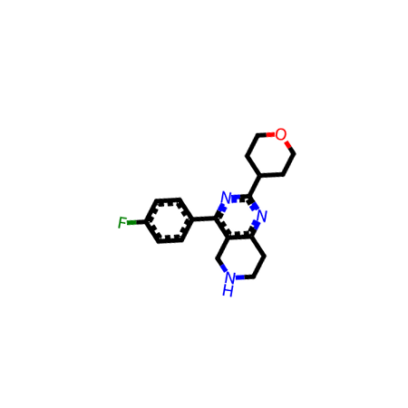 Fc1ccc(-c2nc(C3CCOCC3)nc3c2CNCC3)cc1